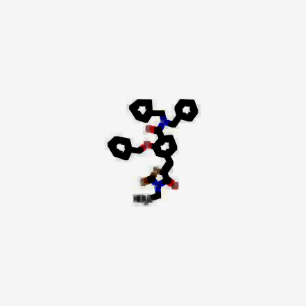 O=C(O)CN1C(=O)C(=Cc2ccc(C(=O)N(Cc3ccccc3)Cc3ccccc3)c(OCc3ccccc3)c2)SC1=S